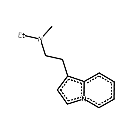 CCN(C)CCc1ccn2ccccc12